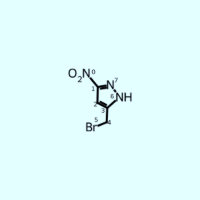 O=[N+]([O-])c1cc(CBr)[nH]n1